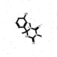 CN1C(=O)NC(C)(C2=CC(Br)CC=C2)N(C)C1=O